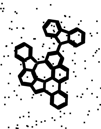 c1cc(-n2c3ccccc3c3ccccc32)cc(-n2c3ccccc3c3ccc4cc5c6ccccc6c6ccccc6n5c4c32)c1